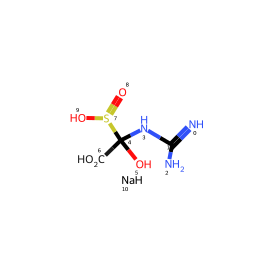 N=C(N)NC(O)(C(=O)O)S(=O)O.[NaH]